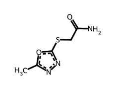 Cc1nnc(SCC(N)=O)o1